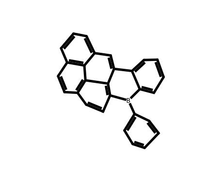 c1ccc(B2c3ccccc3-c3cc4cccc5ccc6ccc2c3c6c54)cc1